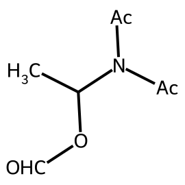 CC(=O)N(C(C)=O)C(C)OC=O